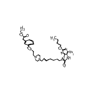 CCCCOc1nc(N)c2[nH]c(=O)n(CCCCCCCN3CCN(CCOc4cccc(CC(=O)OC)c4)CC3)c2n1